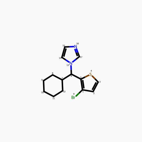 Brc1ccsc1C(C1C[CH]CCC1)n1ccnc1